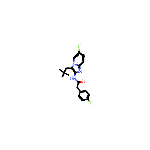 CC(C)(C)Cc1c(NC(=O)Cc2ccc(F)cc2)nc2ccc(F)cn12